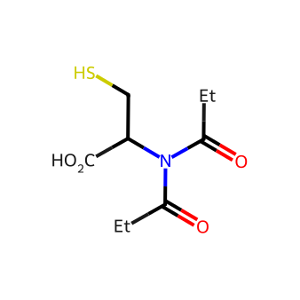 CCC(=O)N(C(=O)CC)C(CS)C(=O)O